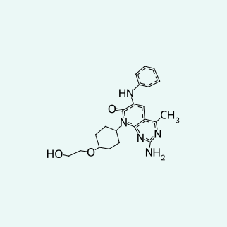 Cc1nc(N)nc2c1cc(Nc1ccccc1)c(=O)n2C1CCC(OCCO)CC1